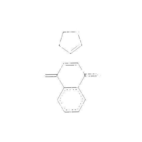 C1=COCC1.O=C1C=CC(=O)c2ccccc21